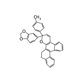 Cc1ccc(C2(c3ccc4c(c3)OCO4)C=Cc3c(c4c(c5ccccc35)-c3ccccc3CC4)O2)cc1